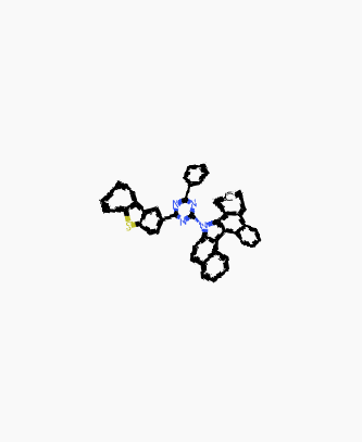 c1ccc(-c2nc(-c3ccc4sc5ccccc5c4c3)nc(-n3c4ccc5ccccc5c4c4c5ccccc5c5ccccc5c43)n2)cc1